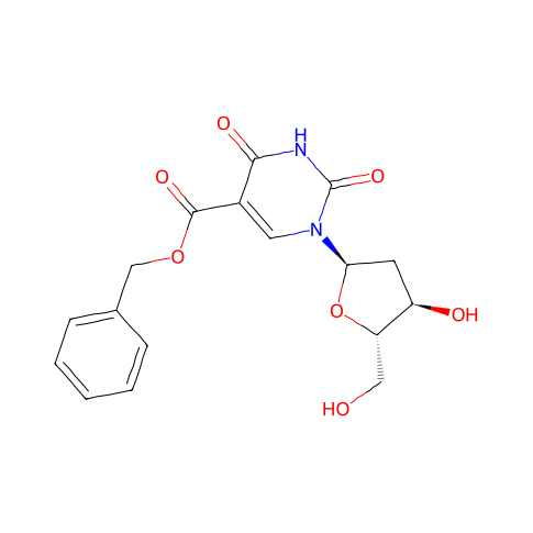 O=C(OCc1ccccc1)c1cn([C@H]2C[C@@H](O)[C@H](CO)O2)c(=O)[nH]c1=O